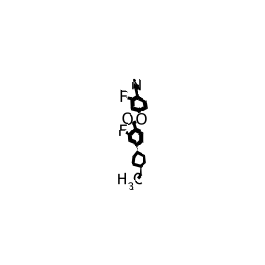 CC[C@H]1CC[C@H](c2ccc(C(=O)Oc3ccc(C#N)c(F)c3)c(F)c2)CC1